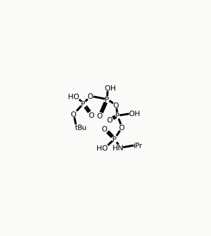 CC(C)NP(=O)(O)OP(=O)(O)OP(=O)(O)OP(=O)(O)OC(C)(C)C